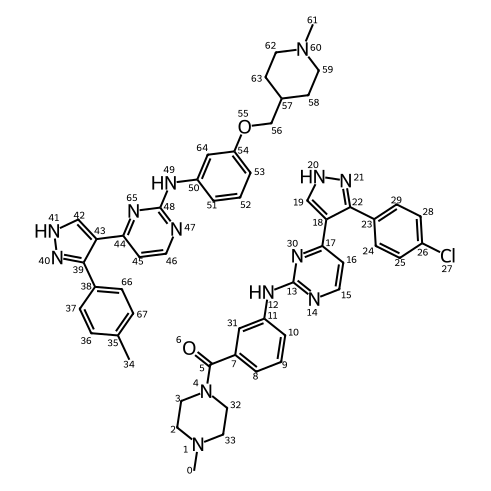 CN1CCN(C(=O)c2cccc(Nc3nccc(-c4c[nH]nc4-c4ccc(Cl)cc4)n3)c2)CC1.Cc1ccc(-c2n[nH]cc2-c2ccnc(Nc3cccc(OCC4CCN(C)CC4)c3)n2)cc1